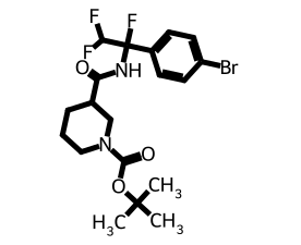 CC(C)(C)OC(=O)N1CCCC(C(=O)NC(F)(c2ccc(Br)cc2)C(F)F)C1